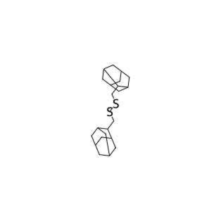 C1C2CC3CC1CC(C2)C3CSSCC1C2CC3CC(C2)CC1C3